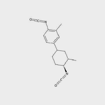 Cc1cc(C2CC[C@H](N=C=O)C(C)C2)ccc1N=C=O